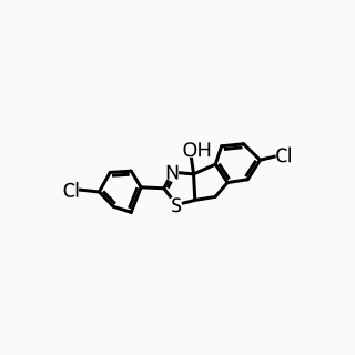 OC12N=C(c3ccc(Cl)cc3)SC1Cc1cc(Cl)ccc12